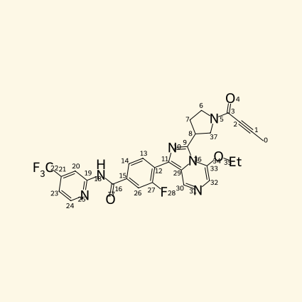 CC#CC(=O)N1CCC(c2nc(-c3ccc(C(=O)Nc4cc(C(F)(F)F)ccn4)cc3F)c3cncc(OCC)n23)C1